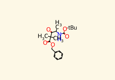 CC(NC(=O)OC(C)(C)C)C(=O)C(C)(C)C(=O)OCc1ccccc1